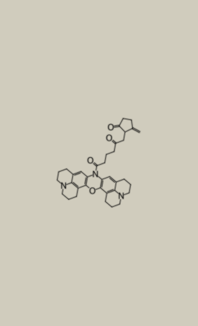 C=C1CCC(=O)C1CC(=O)CCCC(=O)N1c2cc3c4c(c2Oc2c1cc1c5c2CCCN5CCC1)CCCN4CCC3